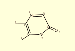 CC1=C(C)N=[C]C(=O)[N]1